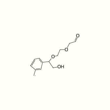 [CH2]c1cccc(C(CO)OCCOCC=O)c1